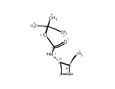 C[C@H]1NC[C@@H]1NC(=O)OC(C)(C)C